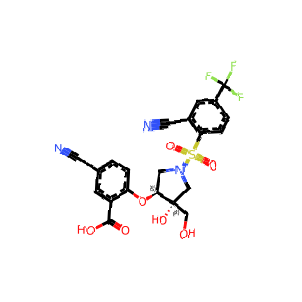 N#Cc1ccc(O[C@H]2CN(S(=O)(=O)c3ccc(C(F)(F)F)cc3C#N)C[C@@]2(O)CO)c(C(=O)O)c1